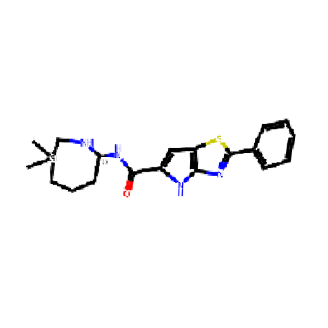 C[Si]1(C)CCC[C@H](NC(=O)c2cc3sc(-c4ccccc4)nc3[nH]2)NC1